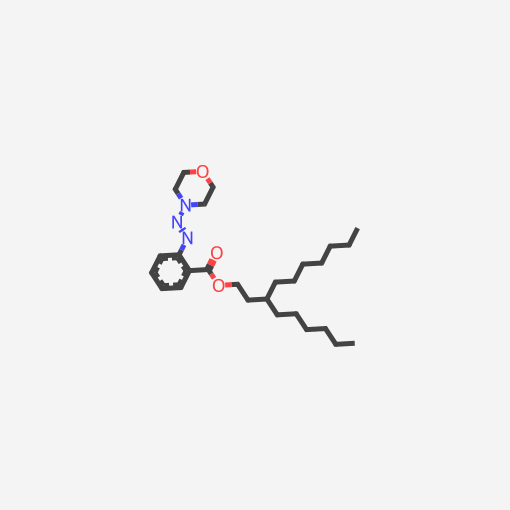 CCCCCCCC(CCCCCC)CCOC(=O)c1ccccc1N=NN1CCOCC1